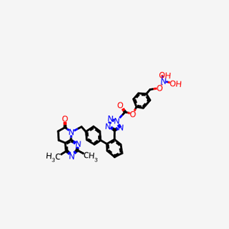 Cc1nc(C)c2c(n1)N(Cc1ccc(-c3ccccc3-c3nnn(C(=O)Oc4ccc(CON(O)O)cc4)n3)cc1)C(=O)CC2